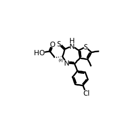 Cc1sc2c(c1C)C(c1ccc(Cl)cc1)=N[C@H](CC(=O)O)C(=S)N2